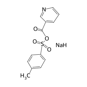 Cc1ccc(S(=O)(=O)OC(=O)c2cccnc2)cc1.[NaH]